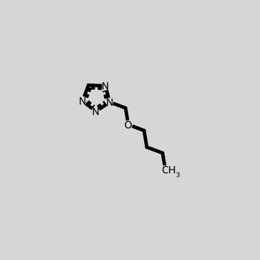 CCCCOCn1ncnn1